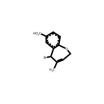 CC1=CCOc2ccc(C(=O)O)cc2C1Br